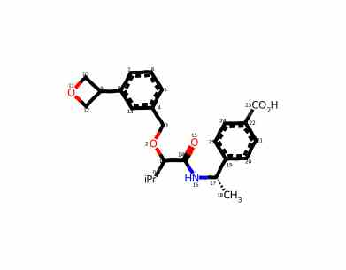 CC(C)C(OCc1cccc(C2COC2)c1)C(=O)N[C@@H](C)c1ccc(C(=O)O)cc1